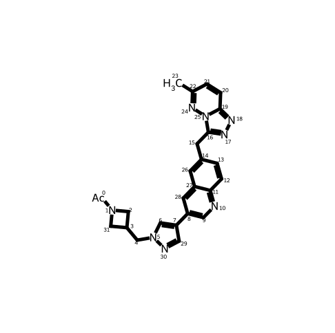 CC(=O)N1CC(Cn2cc(-c3cnc4ccc(Cc5nnc6ccc(C)nn56)cc4c3)cn2)C1